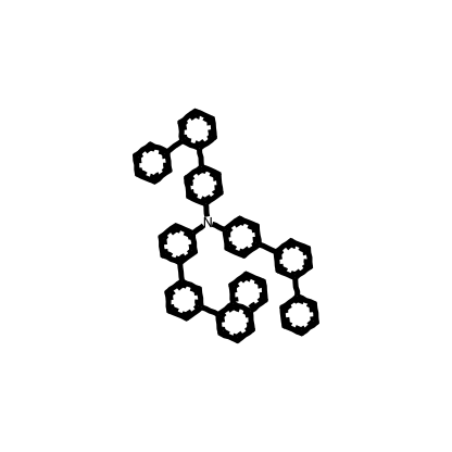 c1ccc(-c2cccc(-c3ccc(N(c4ccc(-c5ccccc5-c5ccccc5)cc4)c4cccc(-c5cccc(-c6cccc7ccccc67)c5)c4)cc3)c2)cc1